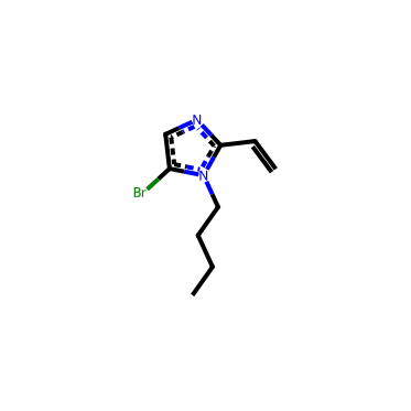 C=Cc1ncc(Br)n1CCCC